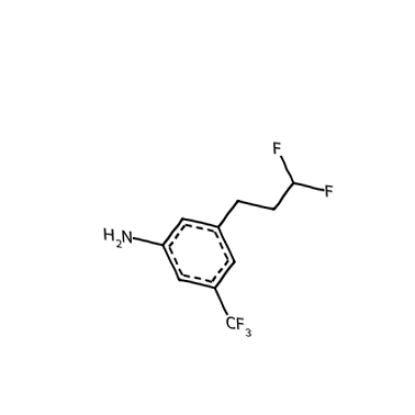 Nc1cc(CCC(F)F)cc(C(F)(F)F)c1